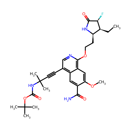 CC[C@@H]1[C@H](F)C(=O)N[C@@H]1CCOc1ncc(C#CC(C)(C)NC(=O)OC(C)(C)C)c2cc(C(N)=O)c(OC)cc12